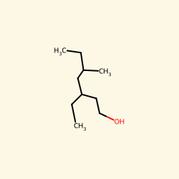 CCC(C)CC(CC)CCO